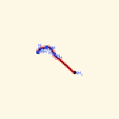 Cn1cc(NC(=O)CCNC(=O)c2cc(NC(=O)c3nc(NC(=O)CCNC(=O)c4cc(NC(=O)c5nccn5C)c[nH]4)cn3C)c[nH]2)nc1C(=O)NCCC(=O)NCCOCCOCCOCCOCCOCCOCCOCCOCCOc1ccc(N)cc1